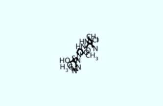 COC1CN(c2nc(-c3ncnn3C)c(C(=O)O)s2)CCC1NC(=O)c1[nH]c(C)c(Cl)c1C#N